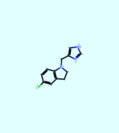 Clc1ccc2c(c1)CCN2Cc1c[nH]cn1